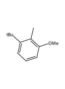 COc1cccc(C(C)(C)C)c1C